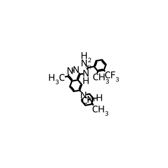 Cc1c([C@@H](N)Nc2nnc(C)c3ccc(N4C[C@@H]5CCC4CN5C)cc23)cccc1C(F)(F)F